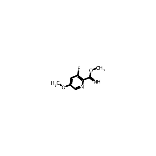 COC(=N)c1ncc(OC)cc1F